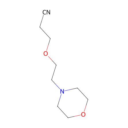 N#CCCOCCN1CCOCC1